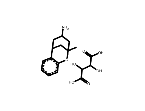 CC12CC(N)CC(C1)c1ccccc1O2.O=C(O)C(O)C(O)C(=O)O